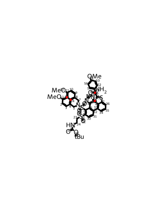 COc1ccc(CN(Cc2ccc(OC)cc2)S(=O)(=O)c2c(S(=O)(=O)CCNC(=O)OC(C)(C)C)ccc(-c3cccc4sc(C(N)=O)nc34)c2-c2nnn(Cc3ccc(OC)cc3)n2)cc1